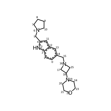 c1cc2[nH]c(CN3CCCC3)cc2cc1CN1CC(N2CCOCC2)C1